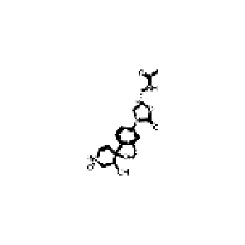 CC(=O)NC[C@H]1CN(c2ccc(C3(O)C=CS(=O)(=O)CC3O)c(F)c2)C(=O)O1